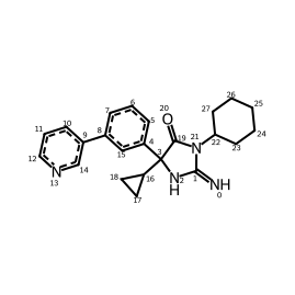 N=C1NC(c2cccc(-c3cccnc3)c2)(C2CC2)C(=O)N1C1CCCCC1